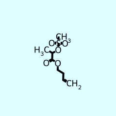 C=CCCOC(=O)C(C)OS(C)(=O)=O